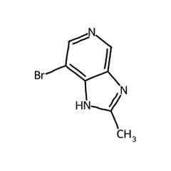 Cc1nc2cncc(Br)c2[nH]1